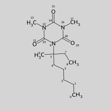 CCCCCC(C)(CC)n1c(=O)n(C)c(=O)n(C)c1=O